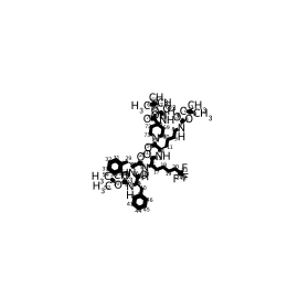 CC(C)(C)OC(=O)NCCCC[C@@H](NC(=O)C(CCCCC(F)(F)F)NC(=O)[C@@H](Cc1ccccc1)NC(=O)[C@@H](Cc1ccccc1)NC(=O)OC(C)(C)C)C(=O)N1CCC(NC(=O)OC(C)(C)C)(C(=O)O)CC1